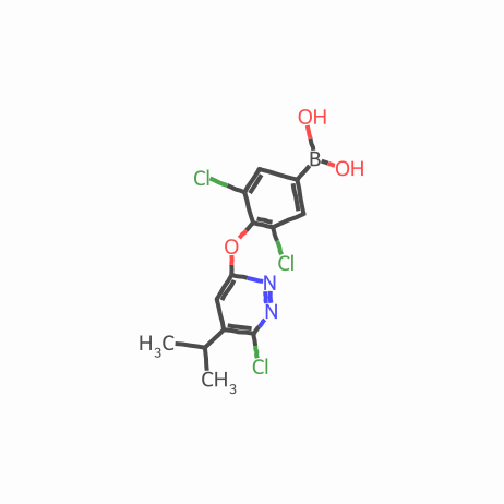 CC(C)c1cc(Oc2c(Cl)cc(B(O)O)cc2Cl)nnc1Cl